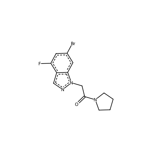 O=C(Cn1ncc2c(F)cc(Br)cc21)N1CCCC1